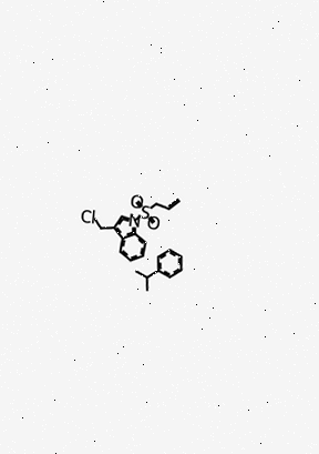 C=CCS(=O)(=O)n1cc(CCl)c2ccccc21.CC(C)c1ccccc1